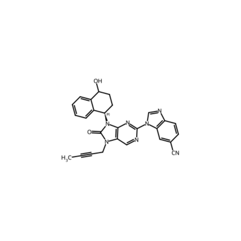 CC#CCn1c(=O)n([C@@H]2CCC(O)c3ccccc32)c2nc(-n3cnc4ccc(C#N)cc43)ncc21